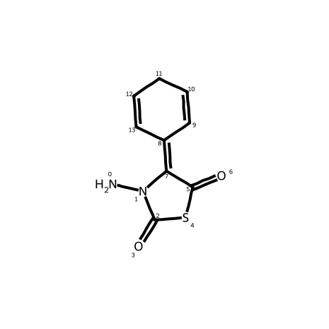 NN1C(=O)SC(=O)C1=C1C=CCC=C1